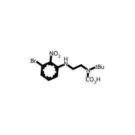 CC(C)(C)N(CCNc1cccc(Br)c1[N+](=O)[O-])C(=O)O